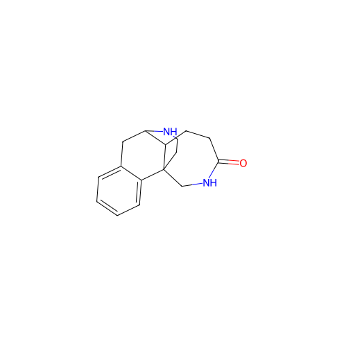 O=C1CCC2C3Cc4ccccc4C2(CCN3)CN1